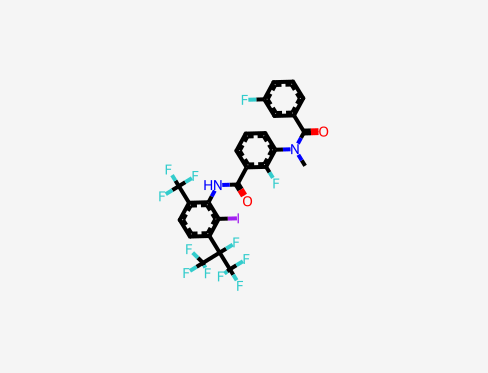 CN(C(=O)c1cccc(F)c1)c1cccc(C(=O)Nc2c(C(F)(F)F)ccc(C(F)(C(F)(F)F)C(F)(F)F)c2I)c1F